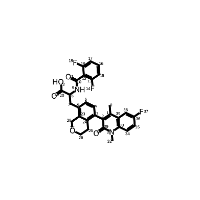 Cc1c(-c2ccc(CC(NC(=O)c3c(F)cccc3F)C(=O)O)c3c2CCOC3)c(=O)n(C)c2ccc(F)cc12